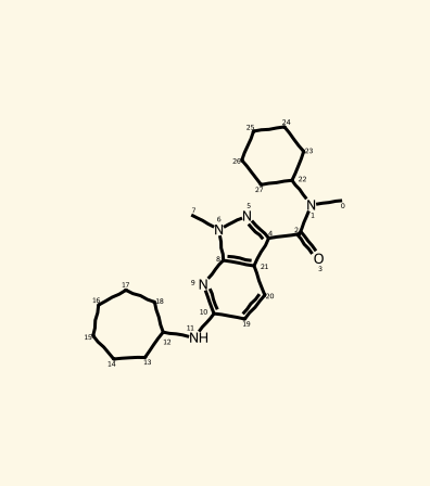 CN(C(=O)c1nn(C)c2nc(NC3CCCCCC3)ccc12)C1CCCCC1